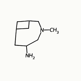 CN1CC(N)CC2CC(C2)C1